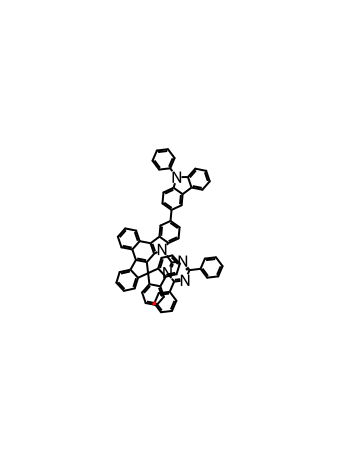 c1ccc(-c2nc(-c3ccccc3)nc(-n3c4ccc(-c5ccc6c(c5)c5ccccc5n6-c5ccccc5)cc4c4c5ccccc5c5c(c43)C3(c4ccccc4-c4ccccc43)c3ccccc3-5)n2)cc1